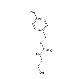 N#Cc1ccc(COC(=O)NCCO)cc1